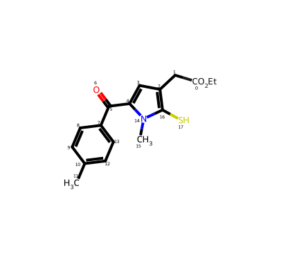 CCOC(=O)Cc1cc(C(=O)c2ccc(C)cc2)n(C)c1S